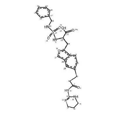 O=C(CCc1ccc2c(CC(NS(=O)(=O)NCc3ccccc3)C(=O)O)occ2c1)NC1=NCCCN1